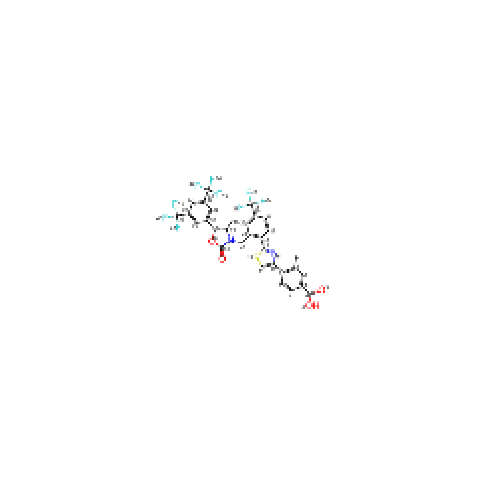 Cc1cc(C(=O)O)ccc1-c1csc(-c2ccc(C(F)(F)F)cc2CN2C(=O)OC(c3cc(C(F)(F)F)cc(C(F)(F)F)c3)C2C)n1